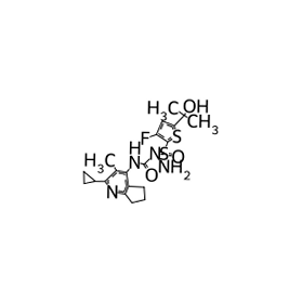 Cc1c(C2CC2)nc2c(c1NC(=O)N=[S@](N)(=O)c1sc(C(C)(C)O)cc1F)CCC2